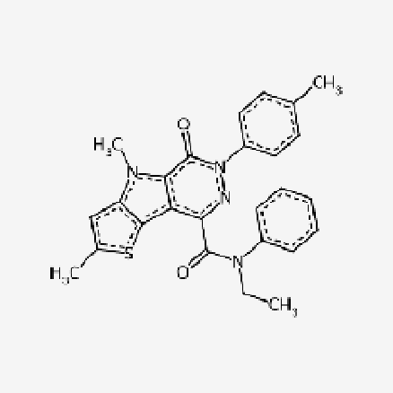 CCN(C(=O)c1nn(-c2ccc(C)cc2)c(=O)c2c1c1sc(C)cc1n2C)c1ccccc1